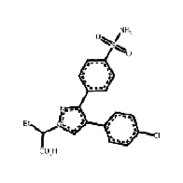 CCC(C(=O)O)n1cc(-c2ccc(Cl)cc2)c(-c2ccc(S(N)(=O)=O)cc2)n1